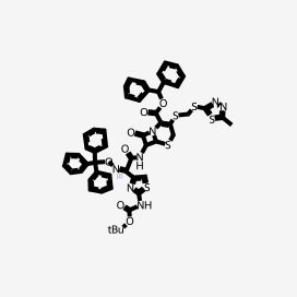 Cc1nnc(SCSC2=C(C(=O)OC(c3ccccc3)c3ccccc3)N3C(=O)C(NC(=O)/C(=N\OC(c4ccccc4)(c4ccccc4)c4ccccc4)c4csc(NC(=O)OC(C)(C)C)n4)C3SC2)s1